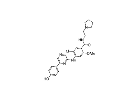 COc1cc(Nc2cncc(-c3ccc(O)cc3)n2)c(Cl)cc1C(=O)NCCN1CCCC1